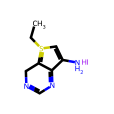 CCS1=C2CN=CN=C2C(N)=C1.I